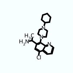 CC(N)c1cc(Cl)c2cccnc2c1N1CCN(C2CCCCC2)CC1